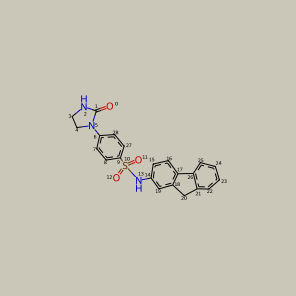 O=C1NCCN1c1ccc(S(=O)(=O)Nc2ccc3c(c2)Cc2ccccc2-3)cc1